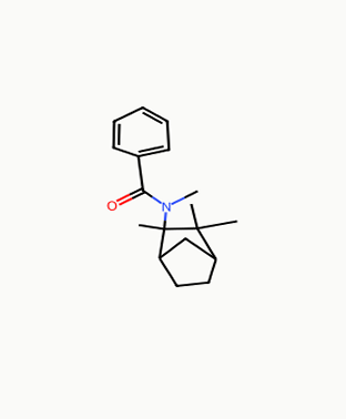 CN(C(=O)c1ccccc1)C1(C)C2CCC(C2)C1(C)C